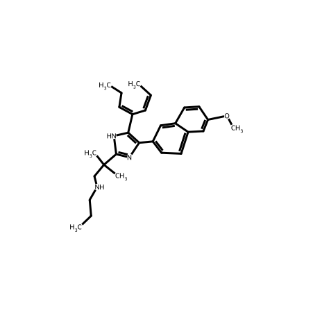 C/C=C\C(=C/CC)c1[nH]c(C(C)(C)CNCCC)nc1-c1ccc2cc(OC)ccc2c1